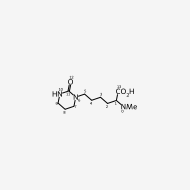 CNC(CCCCN1CCCNC1=O)C(=O)O